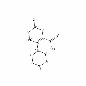 O=C(O)C1=C(N2CCOCC2)NCC(Cl)C1